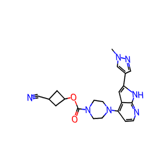 Cn1cc(-c2cc3c(N4CCN(C(=O)OC5CC(C#N)C5)CC4)ccnc3[nH]2)cn1